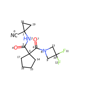 N#CC1(NC(=O)C2(C(=O)N3CC(F)(F)C3)CCCC2)CC1